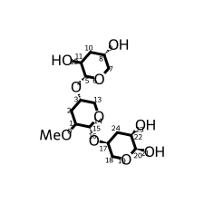 COC1C[C@H](O[C@H]2OC[C@@H](O)CC2O)CO[C@@H]1O[C@@H]1CO[C@H](O)[C@H](O)C1